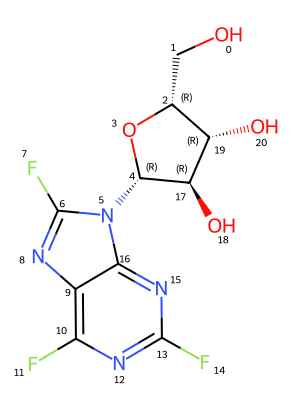 OC[C@H]1O[C@@H](n2c(F)nc3c(F)nc(F)nc32)[C@H](O)[C@H]1O